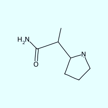 CC(C(N)=O)C1CCC[N]1